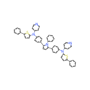 c1ccc(-c2ccc(N(c3ccncc3)c3ccc(-c4ccc(-c5ccc(N(c6ccncc6)c6ccc(-c7ccccc7)s6)cc5)n4-c4ccccc4)cc3)s2)cc1